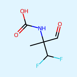 CC(C=O)(NC(=O)O)C(F)F